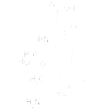 COc1c(-c2sc3c(c2C)C(N)CCC3)c(C2CC2)cc2c(=O)c(C(=O)O)c[nH]c12.Cl